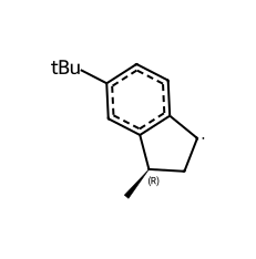 C[C@@H]1C[CH]c2ccc(C(C)(C)C)cc21